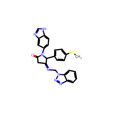 CSc1ccc(C2/C(=N\Cn3nnc4ccccc43)CC(=O)N2c2ccc3[nH]cnc3c2)cc1